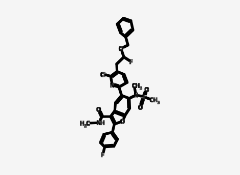 CNC(=O)c1c(-c2ccc(F)cc2)oc2cc(N(C)S(C)(=O)=O)c(-c3ccc(CC(F)OCc4ccccc4)c(Cl)n3)cc12